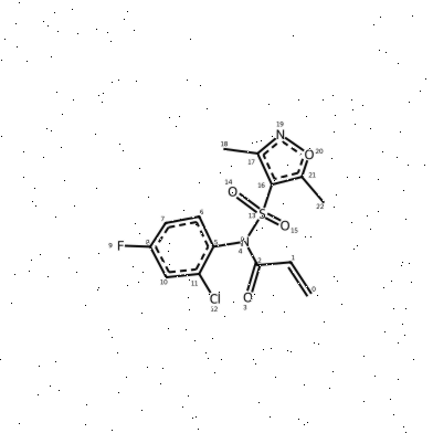 C=CC(=O)N(c1ccc(F)cc1Cl)S(=O)(=O)c1c(C)noc1C